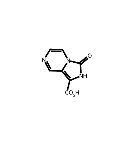 O=C(O)c1[nH]c(=O)n2ccncc12